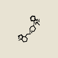 Cc1nc2ccccc2n1C1CCN(CCC2CCCc3sccc32)CC1